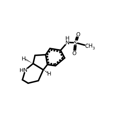 CS(=O)(=O)Nc1ccc2c(c1)C[C@@H]1NCCC[C@H]21